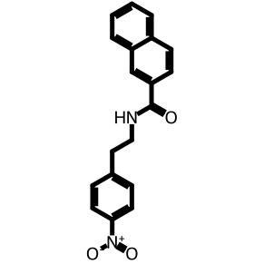 O=C(NCCc1ccc([N+](=O)[O-])cc1)c1ccc2ccccc2c1